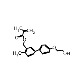 C=C(C)C(=O)OCc1cc(-c2ccc(OCCO)cc2)ccc1C